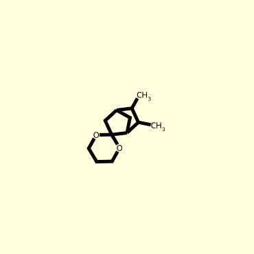 CC1C2CC(C1C)C1(C2)OCCCO1